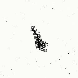 CCO[Si](OCC)(OCC)C(F)(F)C(F)(F)C(F)(F)C(F)(F)C(F)(F)CCCCC(F)(F)F